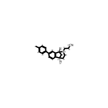 Cc1ccc(-c2ccc3c(c2)[C@H]2C[C@H]3CCN2CCC#N)cc1